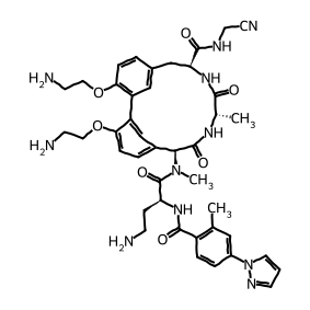 Cc1cc(-n2cccn2)ccc1C(=O)N[C@@H](CCN)C(=O)N(C)[C@@H]1C(=O)N[C@@H](C)C(=O)N[C@H](C(=O)NCC#N)Cc2ccc(OCCN)c(c2)-c2cc1ccc2OCCN